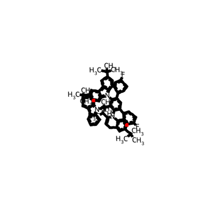 CC(C)C1=CCc2cc(C(C)(C)C)ccc2N1c1c(-c2ccc(F)cc2)cc(-c2ccc(F)cc2)c(-n2c3ccc(C(C)(C)C)cc3c3cc(C(C)(C)C)ccc32)c1C(C)(C)n1c2ccccc2c2ccccc21